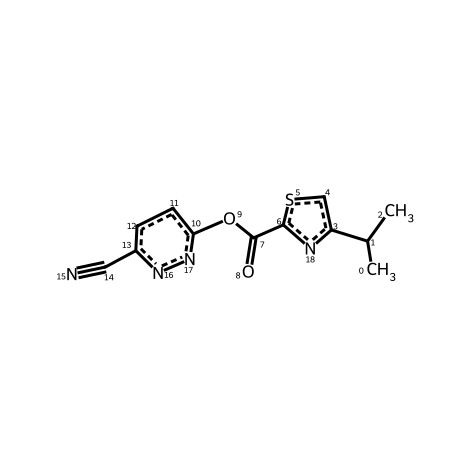 CC(C)c1csc(C(=O)Oc2ccc(C#N)nn2)n1